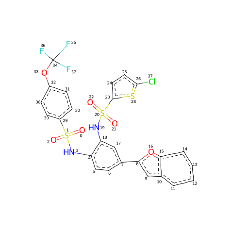 O=S(=O)(Nc1ccc(-c2cc3ccccc3o2)cc1NS(=O)(=O)c1ccc(Cl)s1)c1ccc(OC(F)(F)F)cc1